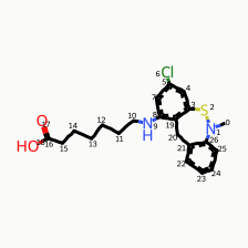 CN1Sc2cc(Cl)cc(NCCCCCCC(=O)O)c2Cc2ccccc21